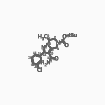 CC1CN(C(=O)OC(C)(C)C)Cc2c(C(N)=O)c(-c3cccc(Cl)c3)nn21